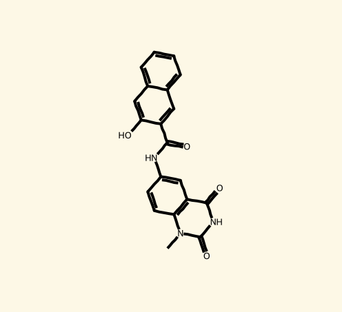 Cn1c(=O)[nH]c(=O)c2cc(NC(=O)c3cc4ccccc4cc3O)ccc21